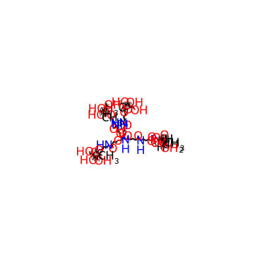 [3H]P(=C)(O)O[C@H]1[C@H]2OC[C@]1(COP(=O)(O)OCCCNC(=O)CCCC(=O)NC(COCCC(=O)NCCCO[C@@H]1OC(CO)[C@H](O)[C@H](O)C1C)(COCCC(=O)NCCCO[C@@H]1OC(CO)[C@H](O)[C@H](O)C1C)COCCC(=O)NCCCO[C@@H]1OC(CO)[C@H](O)[C@H](O)C1C)O[C@H]2C